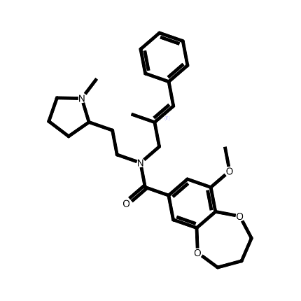 COc1cc(C(=O)N(CCC2CCCN2C)C/C(C)=C/c2ccccc2)cc2c1OCCCO2